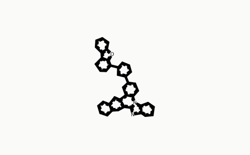 c1cc(-c2ccc3c(c2)c2cc4ccccc4cc2c2nc4ccccc4n32)cc(-c2cccc3c2oc2ccccc23)c1